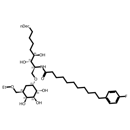 CCCCCCCCCCCCCC[C@@H](O)[C@@H](O)[C@H](CO[C@H]1C[C@H](COCC)[C@H](O)[C@H](O)[C@H]1O)NC(=O)CCCCCCCCCCc1ccc(F)cc1